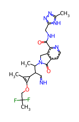 CC1=C(OCC(C)(F)F)C1C(C=N)C(C)N1Cc2c(ccnc2C(=O)NCc2nnc(C)[nH]2)C1=O